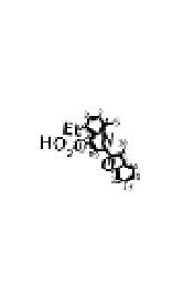 CCc1ccc(C)c2nc(-c3oc4ccccc4c3C)cc(C(=O)O)c12